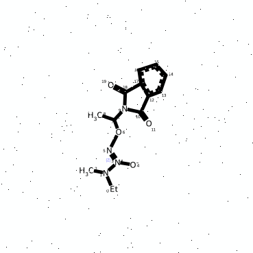 CCN(C)/[N+]([O-])=N/OC(C)N1C(=O)c2ccccc2C1=O